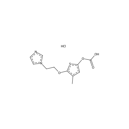 Cc1cc(OC(=O)O)sc1OCCn1ccnc1.Cl